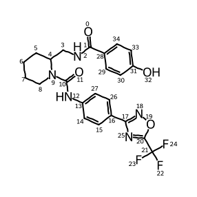 O=C(NCC1CCCCN1C(=O)Nc1ccc(-c2noc(C(F)(F)F)n2)cc1)c1ccc(O)cc1